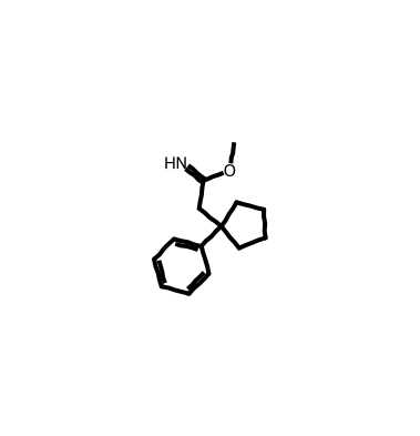 COC(=N)CC1(c2ccccc2)CCCC1